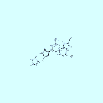 C[C@H]1C[C@@]2(C[C@@H](c3cn(Cc4cncs4)nn3)N1)OC[C@@H](O)c1cc(Cl)sc12